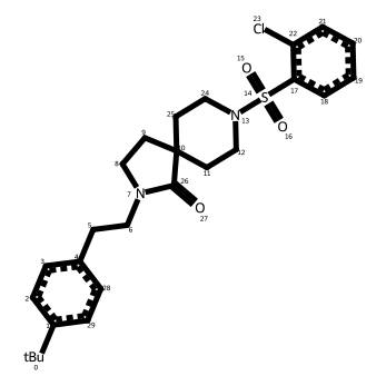 CC(C)(C)c1ccc(CCN2CCC3(CCN(S(=O)(=O)c4ccccc4Cl)CC3)C2=O)cc1